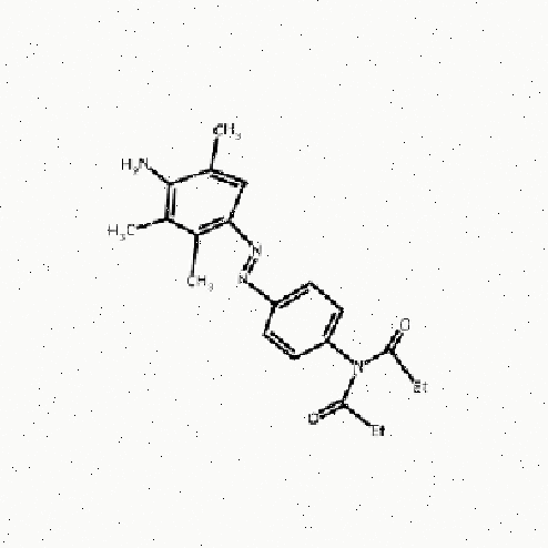 CCC(=O)N(C(=O)CC)c1ccc(N=Nc2cc(C)c(N)c(C)c2C)cc1